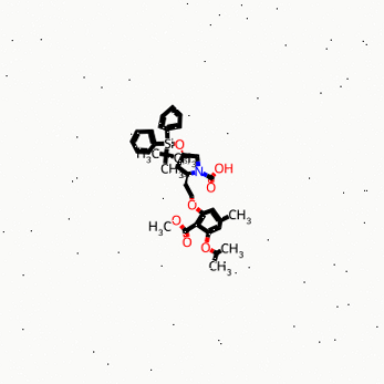 COC(=O)c1c(OCC[C@H]2C[C@H](O[Si](c3ccccc3)(c3ccccc3)C(C)(C)C)CN2C(=O)O)cc(C)cc1OC(C)C